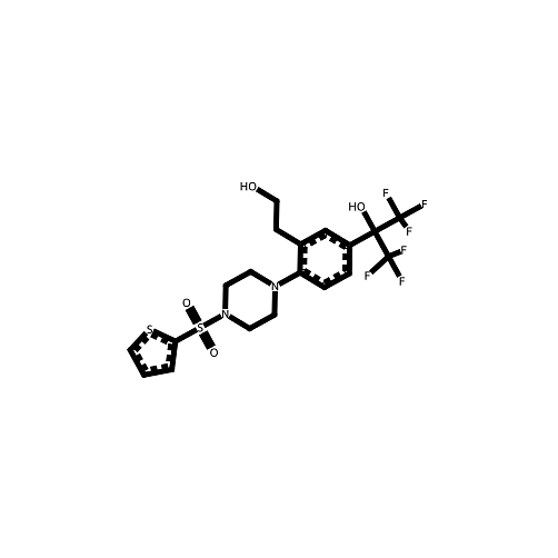 O=S(=O)(c1cccs1)N1CCN(c2ccc(C(O)(C(F)(F)F)C(F)(F)F)cc2CCO)CC1